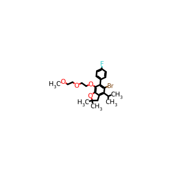 COCCOCCOc1c2c(c(C(C)C)c(Br)c1-c1ccc(F)cc1)CC(C)(C)O2